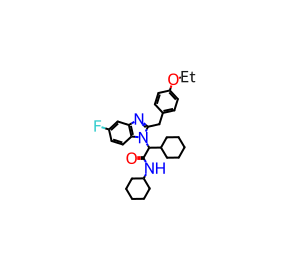 CCOc1ccc(Cc2nc3cc(F)ccc3n2C(C(=O)NC2CCCCC2)C2CCCCC2)cc1